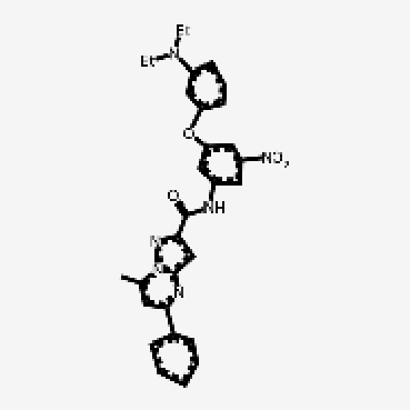 CCN(CC)c1cccc(Oc2cc(NC(=O)c3cc4nc(-c5ccccc5)cc(C)n4n3)cc([N+](=O)[O-])c2)c1